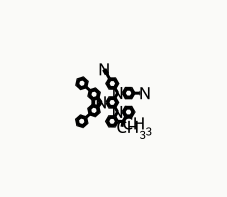 CC1(C)c2ccccc2N(c2cc(N(c3ccc(C#N)cc3)c3ccc(C#N)cc3)cc(-n3c4ccc(-c5ccccc5)cc4c4cc(-c5ccccc5)ccc43)c2)c2ccccc21